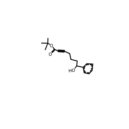 CC(C)(C)OC(=O)C#CCCCC(O)c1ccccc1